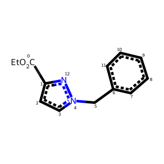 CCOC(=O)c1ccn(Cc2ccccc2)n1